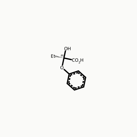 CC[C@@](O)(Oc1ccccc1)C(=O)O